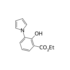 CCOC(=O)c1cccc(-n2cccc2)c1O